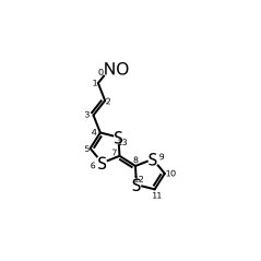 O=NC/C=C/C1=CSC(=C2SC=CS2)S1